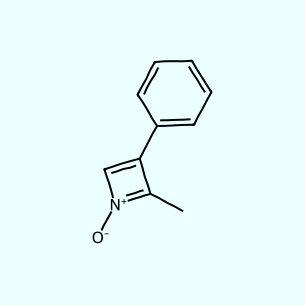 CC1=[N+]([O-])C=C1c1ccccc1